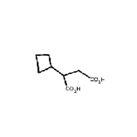 O=C(O)CC(C(=O)O)C1CCC1